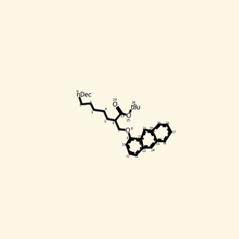 CCCCCCCCCCCCCCCC(COc1cccc2cc3ccccc3cc12)C(=O)OC(C)(C)C